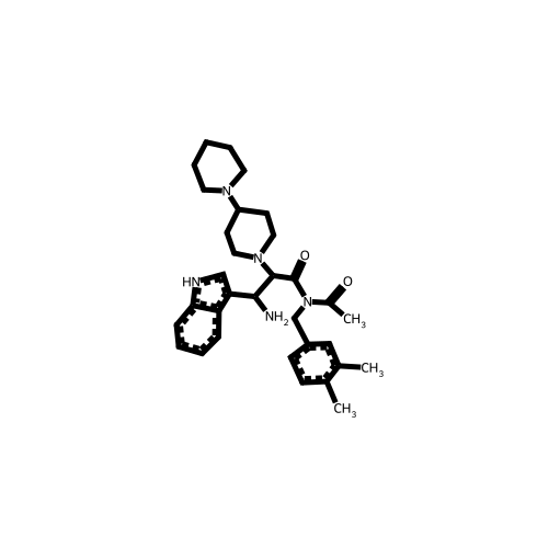 CC(=O)N(Cc1ccc(C)c(C)c1)C(=O)C(C(N)c1c[nH]c2ccccc12)N1CCC(N2CCCCC2)CC1